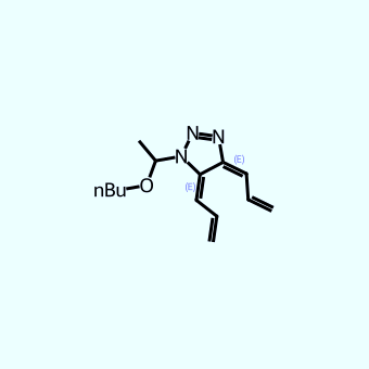 C=C/C=c1/nnn(C(C)OCCCC)/c1=C/C=C